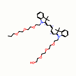 CCCOCCOCCOCCN1/C(=C/C=C\C=C/C2=[N+](CCOCCOCCOCCO)c3ccccc3C2(C)C)C(C)(C)c2ccccc21